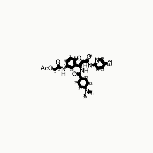 CC(=O)OCC(=O)Nc1ccc2oc(C(=O)Nc3ccc(Cl)cn3)c(NC(=O)C3CCC(N(C)C)CC3)c2c1